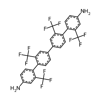 Nc1ccc(-c2ccc(-c3ccc(-c4ccc(N)cc4C(F)(F)F)c(C(F)(F)F)c3)cc2C(F)(F)F)c(C(F)(F)F)c1